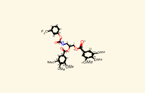 COc1cc(C(=O)OCC(CNC(=O)Oc2cccc(C(F)(F)F)c2)OC(=O)c2cc(OC)c(OC)c(OC)c2)cc(OC)c1OC